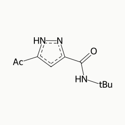 CC(=O)c1cc(C(=O)NC(C)(C)C)n[nH]1